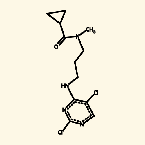 CN(CCCNc1nc(Cl)ncc1Cl)C(=O)C1CC1